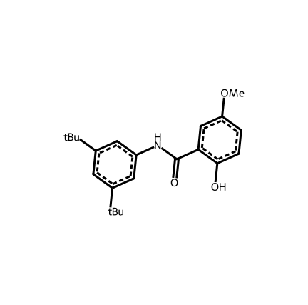 COc1ccc(O)c(C(=O)Nc2cc(C(C)(C)C)cc(C(C)(C)C)c2)c1